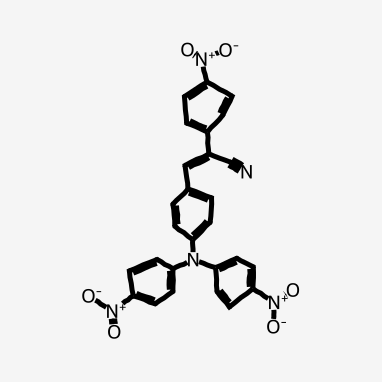 N#CC(=Cc1ccc(N(c2ccc([N+](=O)[O-])cc2)c2ccc([N+](=O)[O-])cc2)cc1)c1ccc([N+](=O)[O-])cc1